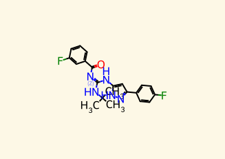 CC(C)(C)N/C(=N/C(=O)c1cccc(F)c1)Nc1cc(-c2ccc(F)cc2)n[nH]1